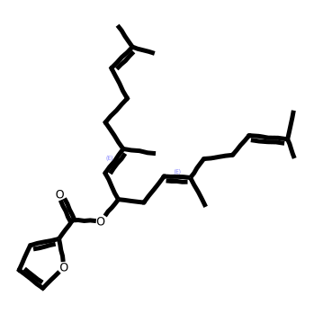 CC(C)=CCC/C(C)=C/CC(/C=C(\C)CCC=C(C)C)OC(=O)c1ccco1